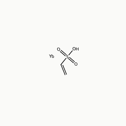 C=CS(=O)(=O)O.[Yb]